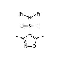 Cc1noc(C)c1S(=O)(=O)N(C(C)C)C(C)C